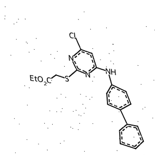 CCOC(=O)CSc1nc(Cl)cc(Nc2ccc(-c3ccccc3)cc2)n1